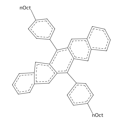 CCCCCCCCc1ccc(-c2c3cc4ccccc4cc3c(-c3ccc(CCCCCCCC)cc3)c3cc4ccccc4cc23)cc1